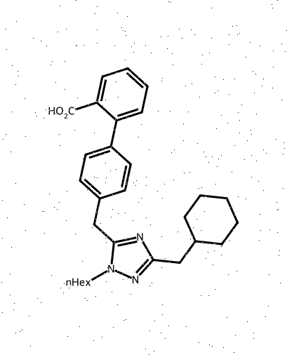 CCCCCCn1nc(CC2CCCCC2)nc1Cc1ccc(-c2ccccc2C(=O)O)cc1